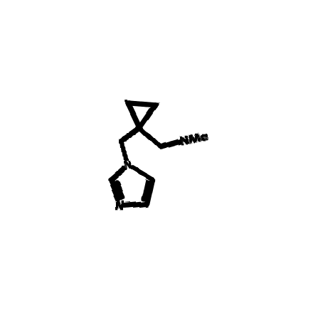 CNCC1(Cn2ccnc2)CC1